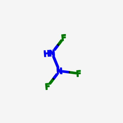 FNN(F)F